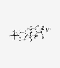 CCC(C)(C)c1ccc(S(=O)(=O)NC(C(=O)NO)C(C)O)cc1